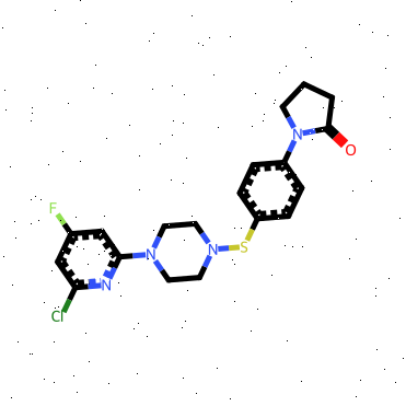 O=C1CCCN1c1ccc(SN2CCN(c3cc(F)cc(Cl)n3)CC2)cc1